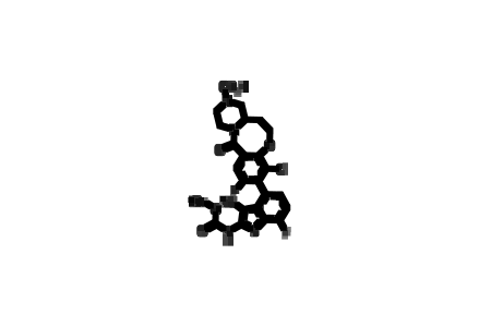 CC(C)(C)OC(=O)Nc1sc2c(F)ccc(-c3c(F)cc4c(c3Cl)OCCC3CN(C(=O)O)CCN3C4=O)c2c1C#N